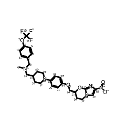 CN(Cc1ccc(OC(F)(F)F)cc1)CC1CCN(c2ccc(OCC3CCn4cc([N+](=O)[O-])nc4O3)cc2)CC1